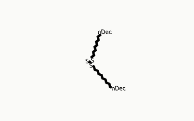 CCCCCCCCCCCCCCCCCCCCSC(=S)SCCCCCCCCCCCCCCCCCCCC